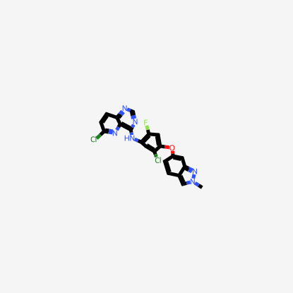 Cn1cc2ccc(Oc3cc(F)c(Nc4ncnc5ccc(Cl)nc45)cc3Cl)cc2n1